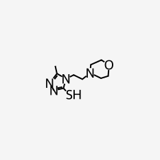 Cc1nnc(S)n1CCN1CCOCC1